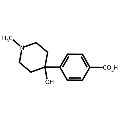 CN1CCC(O)(c2ccc(C(=O)O)cc2)CC1